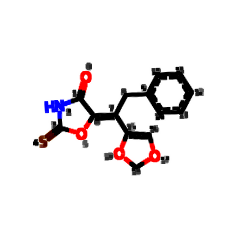 O=C1NC(=S)OC1=C(Cc1ccccc1)C1=COCO1